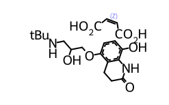 CC(C)(C)NCC(O)COc1ccc(O)c2c1CCC(=O)N2.O=C(O)/C=C\C(=O)O